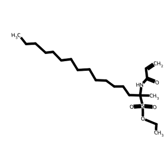 C=CC(=O)NC(C)(CCCCCCCCCCCCCC)S(=O)(=O)OCC